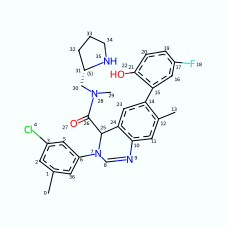 Cc1cc(Cl)cc(N2C=Nc3cc(C)c(-c4cc(F)ccc4O)cc3C2C(=O)N(C)C[C@@H]2CCCN2)c1